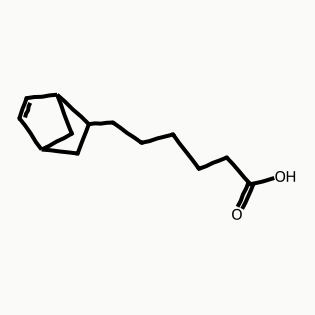 O=C(O)CCCCCC1CC2C=CC1C2